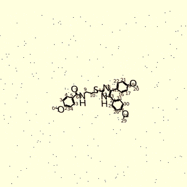 COc1ccc(C(=O)NCCSc2nc(-c3ccc(OC)cc3)c(-c3ccc(OC)cc3)[nH]2)cc1